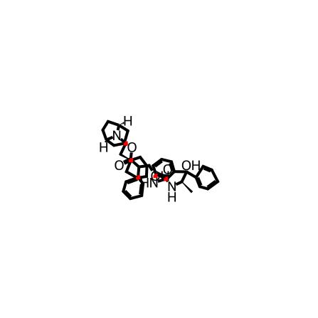 C[C@@H](NC(=O)N[C@H]1CC[C@H](CCN2[C@@H]3CC[C@H]2CC(OC(=O)C(CO)c2ccccc2)C3)CC1)C(O)(c1ccccc1)c1ccccc1